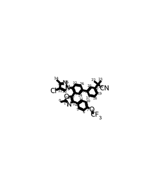 Cc1nc(-c2ccc(OC(F)(F)F)cc2)c(-c2cc(-c3cccc(C(C)(C)C#N)c3)ccc2-n2cc(Cl)c(C)n2)o1